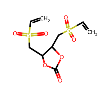 C=CS(=O)(=O)CC1OC(=O)OC1CS(=O)(=O)C=C